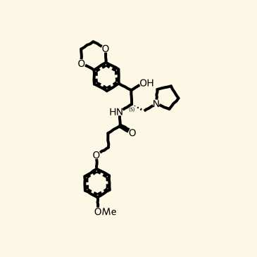 COc1ccc(OCCC(=O)N[C@@H](CN2CCCC2)C(O)c2ccc3c(c2)OCCO3)cc1